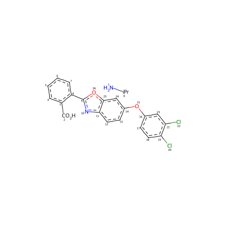 CC(C)N.O=C(O)c1ccccc1-c1nc2ccc(Oc3ccc(Cl)c(Cl)c3)cc2o1